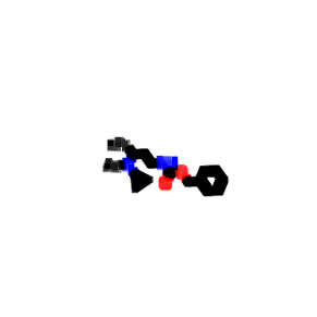 CCCC(CCNC(=O)OCc1ccccc1)N(C(C)=O)C1CC1